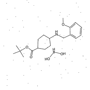 COc1ccccc1CNC1CCC(C(=O)OC(C)(C)C)CC1.OBO